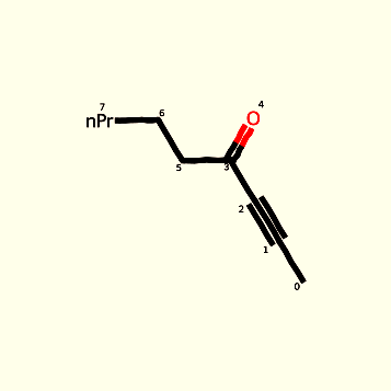 CC#CC(=O)CCCCC